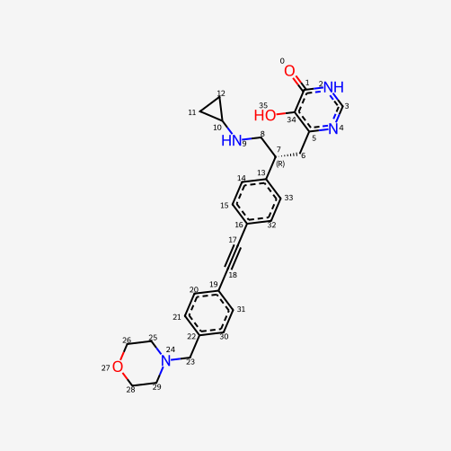 O=c1[nH]cnc(C[C@@H](CNC2CC2)c2ccc(C#Cc3ccc(CN4CCOCC4)cc3)cc2)c1O